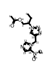 CCC(COC(C)=O)n1cc(Cn2cncc2[N+](=O)[O-])nn1